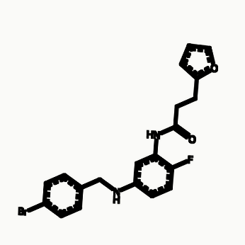 O=C(CCc1ccco1)Nc1cc(NCc2ccc(Br)cc2)ccc1F